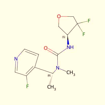 C[C@H](c1ccncc1F)N(C)C(=O)N[C@H]1COCC1(F)F